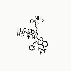 CC(C)(C)OC(=O)N[C@@H](CCCCOC(N)=O)C(=O)N(Cc1cccs1)Cc1ccccc1C(F)(F)F